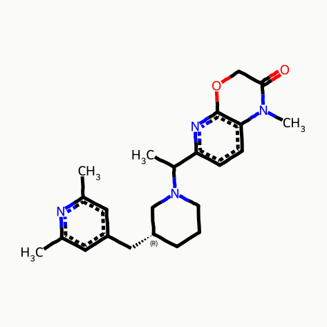 Cc1cc(C[C@H]2CCCN(C(C)c3ccc4c(n3)OCC(=O)N4C)C2)cc(C)n1